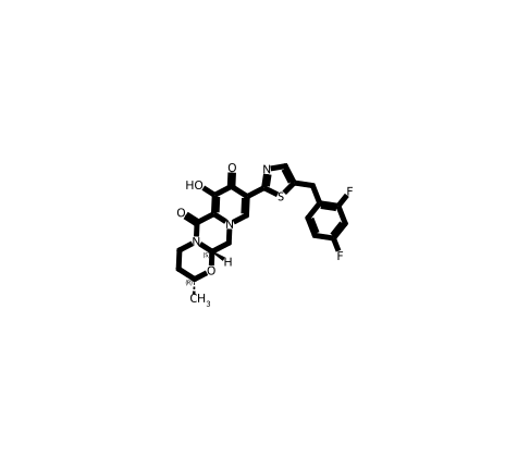 C[C@@H]1CCN2C(=O)c3c(O)c(=O)c(-c4ncc(Cc5ccc(F)cc5F)s4)cn3C[C@@H]2O1